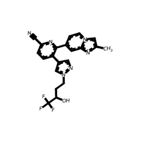 Cc1cn2ccc(-c3nc(C#N)ccc3-c3cnn(CCC(O)C(F)(F)F)c3)cc2n1